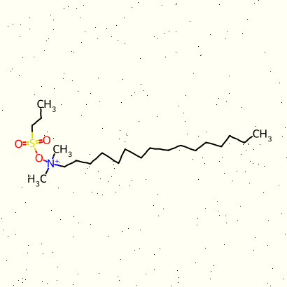 CCCCCCCCCCCCCCCC[N+](C)(C)OS(=O)(=O)CCC